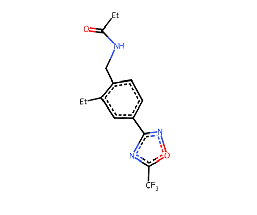 CCC(=O)NCc1ccc(-c2noc(C(F)(F)F)n2)cc1CC